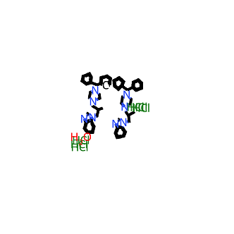 CC(CN1CCN(C(c2ccccc2)c2ccccc2)CC1)Cn1cnc2ccccc21.CC(CN1CCN(C(c2ccccc2)c2ccccc2)CC1)Cn1cnc2ccccc21.Cl.Cl.Cl.Cl.Cl.Cl.O